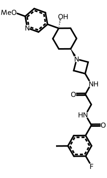 COc1ccc([C@]2(O)CC[C@H](N3CC(NC(=O)CNC(=O)c4cc(C)cc(F)c4)C3)CC2)cn1